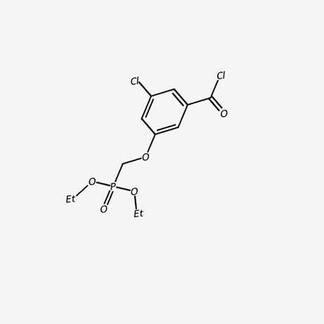 CCOP(=O)(COc1cc(Cl)cc(C(=O)Cl)c1)OCC